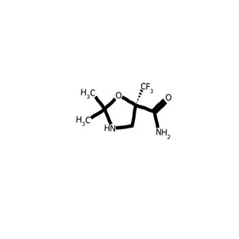 CC1(C)NC[C@@](C(N)=O)(C(F)(F)F)O1